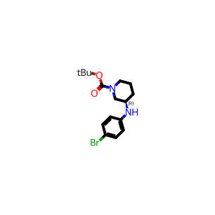 CC(C)(C)OC(=O)N1CCC[C@@H](Nc2ccc(Br)cc2)C1